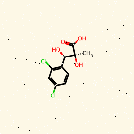 C[C@@](O)(C(=O)O)[C@H](O)c1ccc(Cl)cc1Cl